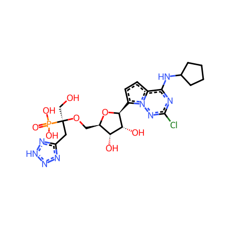 O=P(O)(O)[C@](CO)(Cc1nn[nH]n1)OC[C@H]1O[C@@H](c2ccc3c(NC4CCCC4)nc(Cl)nn23)[C@H](O)[C@@H]1O